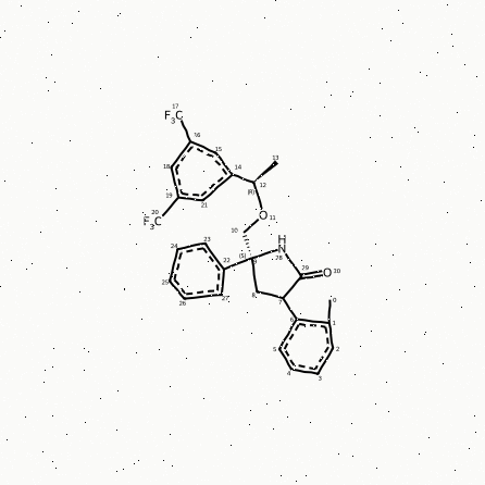 Cc1ccccc1C1C[C@@](CO[C@H](C)c2cc(C(F)(F)F)cc(C(F)(F)F)c2)(c2ccccc2)NC1=O